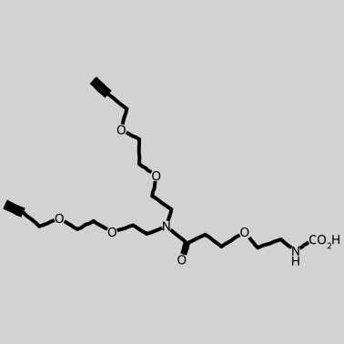 C#CCOCCOCCN(CCOCCOCC#C)C(=O)CCOCCNC(=O)O